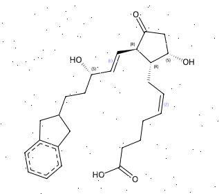 O=C(O)CCC/C=C\C[C@H]1[C@@H](O)CC(=O)[C@@H]1/C=C/[C@@H](O)CCC1Cc2ccccc2C1